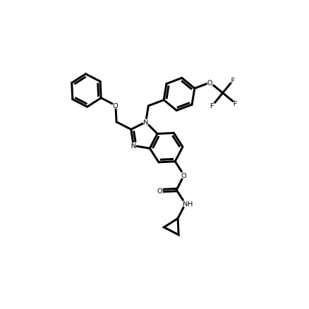 O=C(NC1CC1)Oc1ccc2c(c1)nc(COc1ccccc1)n2Cc1ccc(OC(F)(F)F)cc1